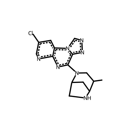 CC1CN(c2nc3ncc(Cl)cc3n3cnnc23)C2CNC1C2